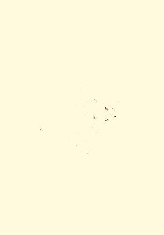 COCOc1cc(-c2ncc3c(N4CC5CCC(C4)N5C(=O)OC(C)(C)C)nc(C4COC4)c(Br)c3c2F)c2c(C#C[Si](C(C)C)(C(C)C)C(C)C)c(F)ccc2c1